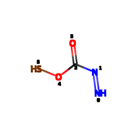 N=NC(=O)OS